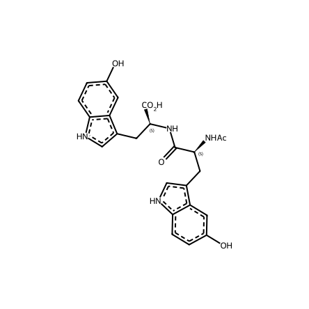 CC(=O)N[C@@H](Cc1c[nH]c2ccc(O)cc12)C(=O)N[C@@H](Cc1c[nH]c2ccc(O)cc12)C(=O)O